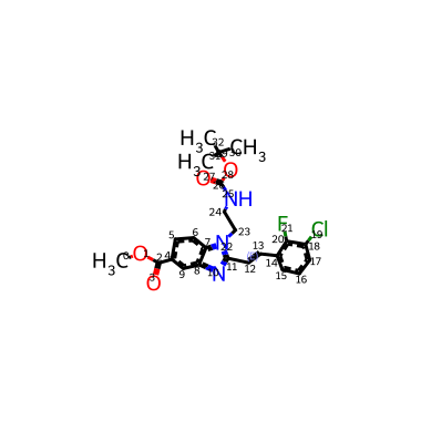 COC(=O)c1ccc2c(c1)nc(/C=C/c1cccc(Cl)c1F)n2CCNC(=O)OC(C)(C)C